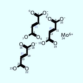 O=C([O-])/C=C/C(=O)[O-].O=C([O-])/C=C/C(=O)[O-].O=C([O-])/C=C/C(=O)[O-].[Mo+6]